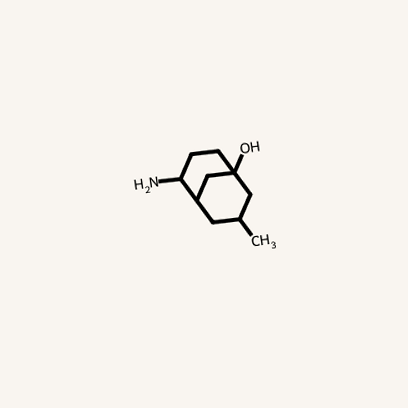 CC1CC2CC(O)(CCC2N)C1